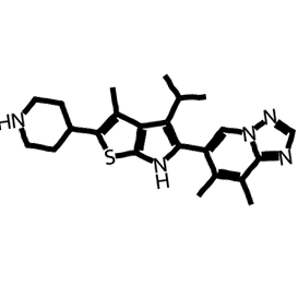 Cc1c(-c2[nH]c3sc(C4CCNCC4)c(C)c3c2C(C)C)cn2ncnc2c1C